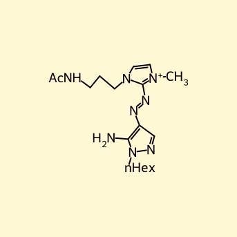 CCCCCCn1ncc(/N=N/c2n(CCCNC(C)=O)cc[n+]2C)c1N